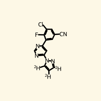 [2H]c1nn(-c2cc(-c3cc(C#N)cc(Cl)c3F)ncn2)c([2H])c1[2H]